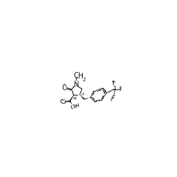 CN1C[C@@H](Cc2ccc(C(F)(F)F)cc2)[C@@H](C(=O)O)C1=O